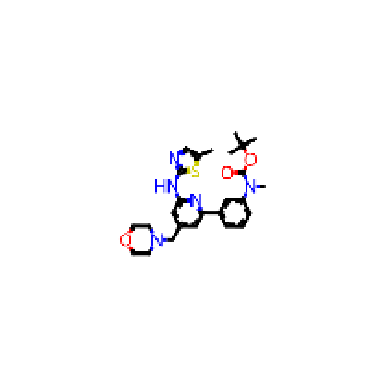 Cc1cnc(Nc2cc(CN3CCOCC3)cc(-c3cccc(N(C)C(=O)OC(C)(C)C)c3)n2)s1